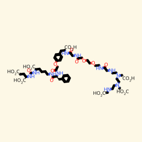 O=C(O)CC[C@H](NC(=O)N[C@@H](CCCCNC(=O)[C@H](Cc1ccccc1)NC(=O)COc1ccc(C[C@H](NC(=O)CNC(=O)COCCOCCNC(=O)CNCCN(CCN(CCNCC(=O)O)CC(=O)O)CC(=O)O)C(=O)O)cc1)C(=O)O)C(=O)O